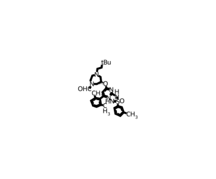 Cc1cccc(S(=N)(=O)Nc2nc(O[C@H]3CN(C=O)CCN(CCC(C)(C)C)C3)cc(-c3c(C)cccc3C)n2)c1